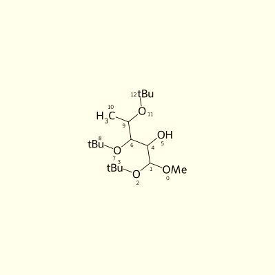 COC(OC(C)(C)C)C(O)C(OC(C)(C)C)C(C)OC(C)(C)C